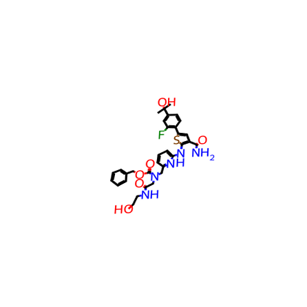 CC(C)(O)c1ccc(-c2cc(C(N)=O)c(Nc3cccc(CN(CC(=O)NCCO)C(=O)OCc4ccccc4)n3)s2)c(F)c1